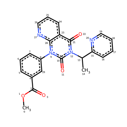 COC(=O)c1cccc(-n2c(=O)n(C(C)c3ccccn3)c(=O)c3cccnc32)c1